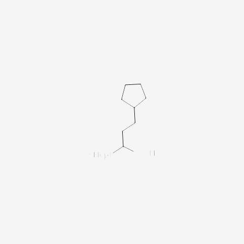 CCCCCCCC(CCC1CCCC1)C(=O)O